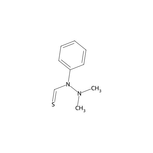 CN(C)N(C=S)c1ccccc1